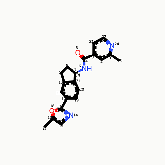 Cc1cc(C(=O)N[C@@H]2CCc3cc(-c4ncc(C)o4)ccc32)ccn1